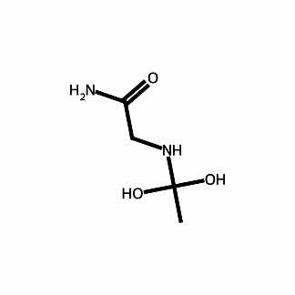 CC(O)(O)NCC(N)=O